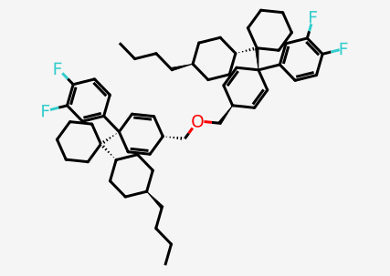 CCCC[C@H]1CC[C@H](C2([C@]3(c4ccc(F)c(F)c4)C=C[C@H](COC[C@H]4C=C[C@@](c5ccc(F)c(F)c5)(C5([C@H]6CC[C@H](CCCC)CC6)CCCCC5)C=C4)C=C3)CCCCC2)CC1